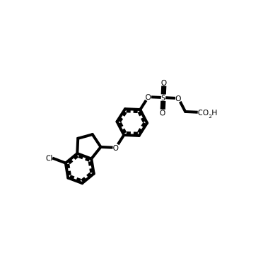 O=C(O)COS(=O)(=O)Oc1ccc(OC2CCc3c(Cl)cccc32)cc1